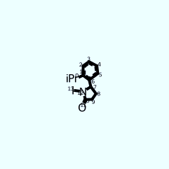 CC(C)c1ccccc1C1CCC(=O)N1I